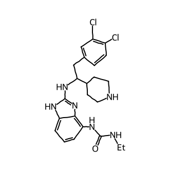 CCNC(=O)Nc1cccc2[nH]c(NC(Cc3ccc(Cl)c(Cl)c3)C3CCNCC3)nc12